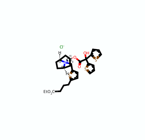 CCOC(=O)CCCc1ccc(C[N+]2(C)[C@@H]3CC[C@H]2C[C@H](OC(=O)C(O)(c2cccs2)c2cccs2)C3)s1.[Cl-]